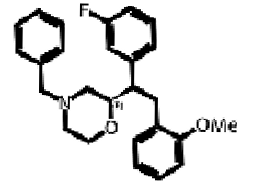 COc1ccccc1CC(c1cccc(F)c1)[C@@H]1CN(Cc2ccccc2)CCO1